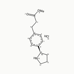 COC(=O)CCc1ccc([C@H]2CCCN2)cc1.Cl